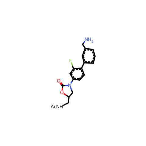 CC(=O)NCC1CN(c2ccc(-c3cccc(CN)c3)c(F)c2)C(=O)O1